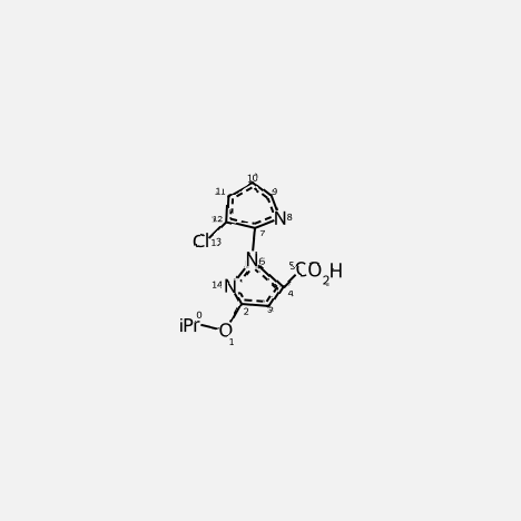 CC(C)Oc1cc(C(=O)O)n(-c2ncccc2Cl)n1